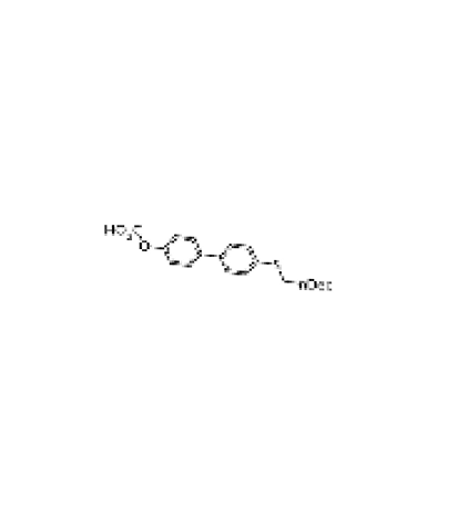 CCCCCCCCCCCSc1ccc(-c2ccc(OC(=O)O)cc2)cc1